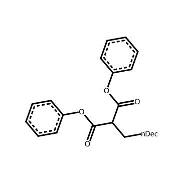 CCCCCCCCCCCC(C(=O)Oc1ccccc1)C(=O)Oc1ccccc1